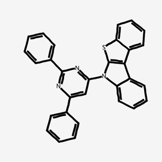 c1ccc(-c2cc(-n3c4ccccc4c4c5ccccc5sc43)nc(-c3ccccc3)n2)cc1